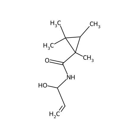 C=CC(O)NC(=O)C1(C)C(C)C1(C)C